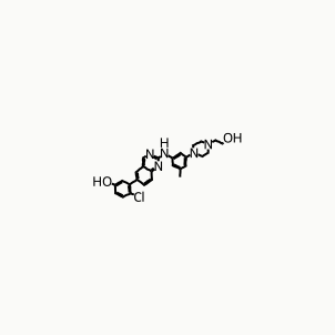 Cc1cc(Nc2ncc3cc(-c4cc(O)ccc4Cl)ccc3n2)cc(N2CCN(CCO)CC2)c1